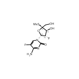 CS[C@]1(CO)O[C@@H](n2cc(F)c(N)nc2=O)[C@@H](F)[C@@H]1O